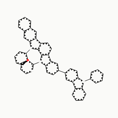 c1ccc(-n2c3ccccc3c3cc(-c4ccc5c(c4)c4ccc6c7cc8ccccc8cc7n(-c7ccccc7)c6c4n5-c4ccccn4)ccc32)cc1